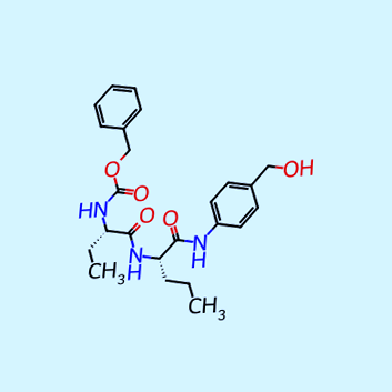 CCC[C@H](NC(=O)[C@H](CC)NC(=O)OCc1ccccc1)C(=O)Nc1ccc(CO)cc1